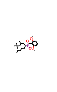 CCCCCC(CC(C)CC(C)(C)C)[P](=O)C(=O)c1c(OC)cccc1OC